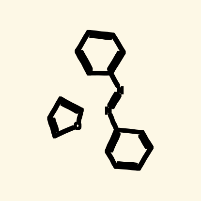 c1ccc(N=Nc2ccccc2)cc1.c1ccoc1